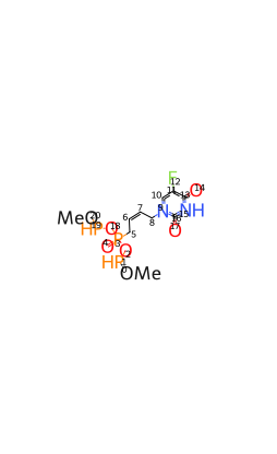 COPOP(=O)(C/C=C\Cn1cc(F)c(=O)[nH]c1=O)OPOC